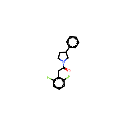 O=C(Cc1c(F)cccc1F)N1CCC(c2ccccc2)C1